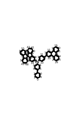 c1ccc(-c2ccc(N(c3ccc(-c4ccc5c6ccccc6c6ccccc6c5c4)cc3)c3ccc4c(c3)-c3ccccc3C43c4ccccc4-c4ccccc43)cc2)cc1